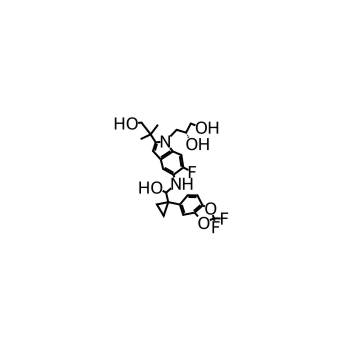 CC(C)(CO)c1cc2cc(NC(O)C3(c4ccc5c(c4)OC(F)(F)O5)CC3)c(F)cc2n1C[C@@H](O)CO